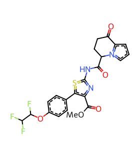 COC(=O)c1nc(NC(=O)C2CCC(=O)c3cccn32)sc1-c1ccc(OC(F)C(F)F)cc1